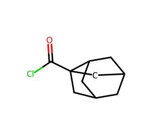 O=C(Cl)C12CC3CC(CC1C3)C2